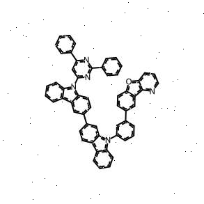 c1ccc(-c2cc(-n3c4ccccc4c4cc(-c5ccc6c7ccccc7n(-c7cccc(-c8ccc9oc%10cccnc%10c9c8)c7)c6c5)ccc43)nc(-c3ccccc3)n2)cc1